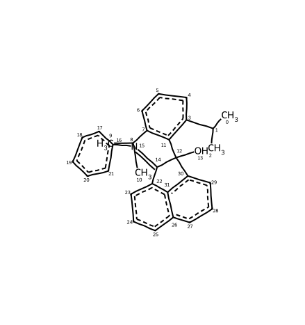 CC(C)c1cccc(C(C)C)c1C1(O)/C(=N/c2ccccc2)c2cccc3cccc1c23